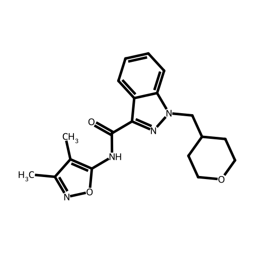 Cc1noc(NC(=O)c2nn(CC3CCOCC3)c3ccccc23)c1C